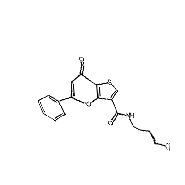 O=C(NCCCCl)c1csc2c(=O)cc(-c3ccccc3)oc12